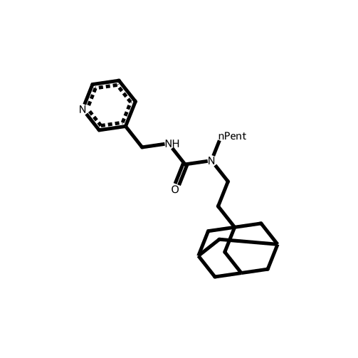 CCCCCN(CCC12CC3CC(CC(C3)C1)C2)C(=O)NCc1cccnc1